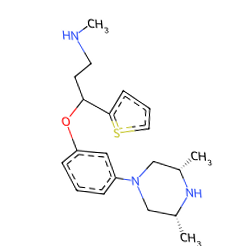 CNCCC(Oc1cccc(N2C[C@@H](C)N[C@@H](C)C2)c1)c1cccs1